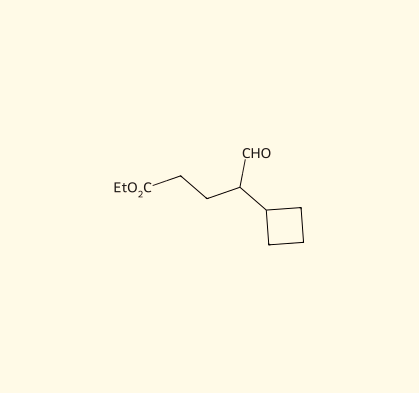 CCOC(=O)CCC(C=O)C1CCC1